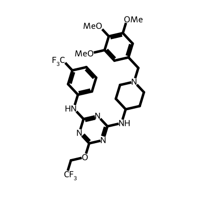 COc1cc(CN2CCC(Nc3nc(Nc4cccc(C(F)(F)F)c4)nc(OCC(F)(F)F)n3)CC2)cc(OC)c1OC